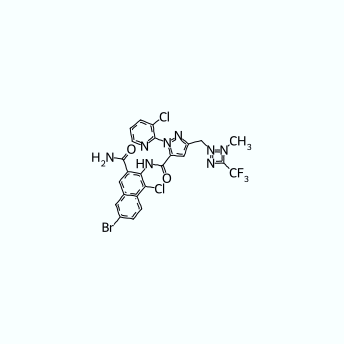 Cn1c(C(F)(F)F)nn1Cc1cc(C(=O)Nc2c(C(N)=O)cc3cc(Br)ccc3c2Cl)n(-c2ncccc2Cl)n1